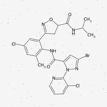 Cc1cc(Cl)cc(C2=NOC(C(=O)NC(C)C)C2)c1NC(=O)c1cc(Br)nn1-c1ncccc1Cl